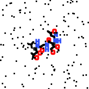 COC(C=O)[C@H](Nc1cc(C)on1)C(=O)NCC(=O)N[C@@H](CC(C)C)C(=O)C1(C)CO1